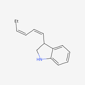 CC/C=C\C=C/C1CNc2ccccc21